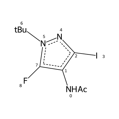 CC(=O)Nc1c(I)nn(C(C)(C)C)c1F